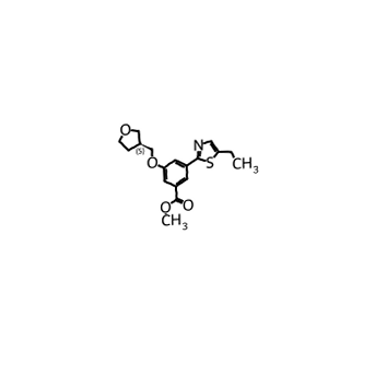 CCc1cnc(-c2cc(OC[C@H]3CCOC3)cc(C(=O)OC)c2)s1